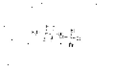 CC[N+](CC)(CC)CC.[O-]C(F)(F)C(F)(F)C(F)(F)F